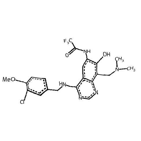 COc1ccc(CNc2ncnc3c(CN(C)C)c(O)c(NC(=O)C(F)(F)F)cc23)cc1Cl